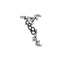 CC(=O)OC(C1C[C@@H](C)C2C(O1)[C@H](OC(=O)CNC(=O)OC(C)(C)C)[C@@]1(C)C3CC[C@H]4C(C)(C)C(OC(=O)CNC(=O)OC(C)(C)C)CCC45CC35CCC21C)C(C)(C)O